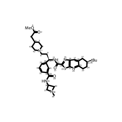 COC(=O)CC1CCN(CC[C@@H](NC(=O)c2nc3cc4c(nc3s2)CC[C@H](C(C)(C)C)C4)c2cccc(C(=O)NC3CN(C)C3)c2)CC1